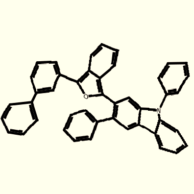 c1ccc(-c2cccc(-c3oc(-c4cc5c(cc4-c4ccccc4)c4ccccc4n5-c4ccccc4)c4ccccc34)c2)cc1